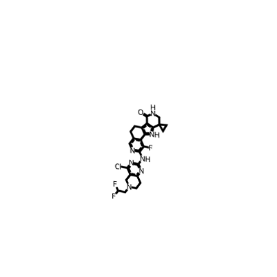 O=C1NCC2(CC2)c2[nH]c3c(c21)CCc1cnc(Nc2nc(Cl)c4c(n2)CCN(CC(F)F)C4)c(F)c1-3